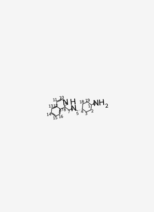 N[C@H]1CC[C@H](CNCc2nccc3ccccc23)CC1